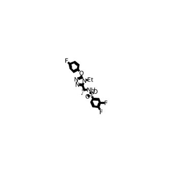 CCn1c(Oc2ccc(F)cc2)nnc1[C@@H](C)NS(=O)(=O)c1ccc(F)c(F)c1